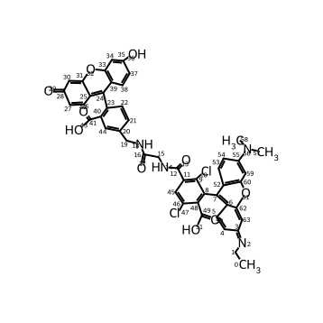 CC/N=c1\ccc2c(-c3c(Cl)c(C(=O)NCC(=O)NCc4ccc(-c5c6ccc(=O)cc-6oc6cc(O)ccc56)c(C(=O)O)c4)cc(Cl)c3C(=O)O)c3ccc(N(C)C)cc3oc-2c1